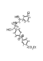 CCOC(=O)c1ccc(S(=O)(=O)c2ccc(CC(C)(C)NC[C@@H](O)c3cccc(Cl)c3)cc2)cc1.Cl